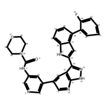 O=C(Nc1cncc(-c2cnc3[nH]nc(-c4cc5c(-c6ccccc6F)cccc5[nH]4)c3c2)c1)N1CCOCC1